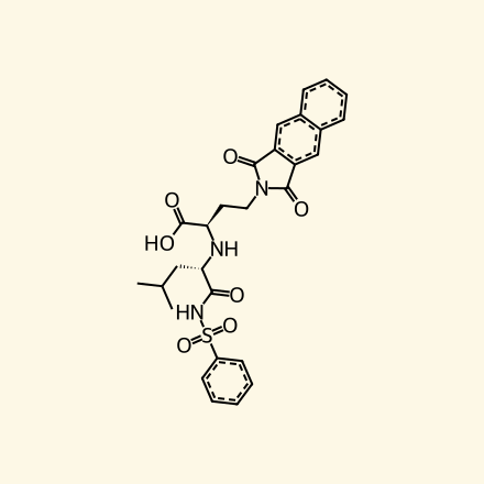 CC(C)C[C@H](N[C@H](CCN1C(=O)c2cc3ccccc3cc2C1=O)C(=O)O)C(=O)NS(=O)(=O)c1ccccc1